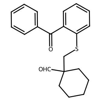 O=CC1(CSc2ccccc2C(=O)c2ccccc2)CCCCC1